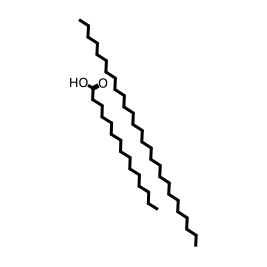 CCCCCCCCCCCCCCC(=O)O.CCCCCCCCCCCCCCCCCCCCCCCCCCC